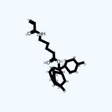 C=CC(=O)NCCCCC(=O)OC1(C2CCC(C)CC2)C2CC3CC1CC(C)(C3)C2